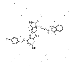 O=C(O)CC(NC(=O)C[N+]1(CCCNc2nc3ccccc3[nH]2)C(=O)CNC1=O)NC(=O)OCc1ccc(Cl)cc1